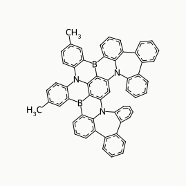 Cc1ccc2c(c1)B1c3cccc4c3N(c3ccccc3-c3ccccc3-4)c3cc4c5c(c31)N2c1ccc(C)cc1B5c1cccc2c1N4c1ccccc1-c1ccccc1-2